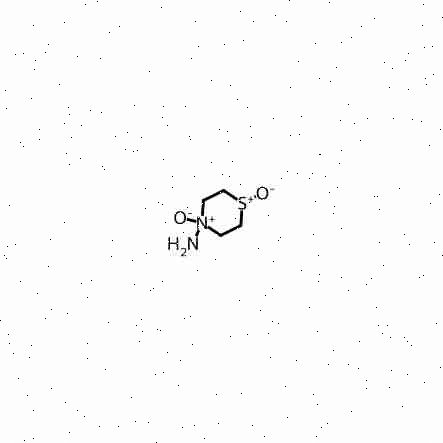 N[N+]1([O-])CC[S+]([O-])CC1